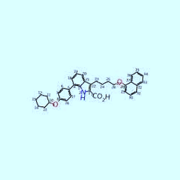 O=C(O)c1[nH]c2c(-c3ccc(OC4CCCCC4)cc3)cccc2c1CCCCOc1cccc2ccccc12